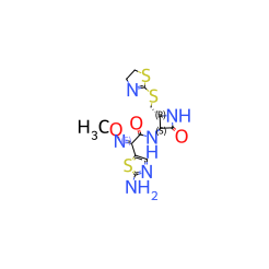 CO/N=C(\C(=O)N[C@@H]1C(=O)N[C@H]1CSC1=NCCS1)c1cnc(N)s1